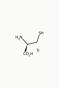 N[C@@H](CS)C(=O)O.[Ti]